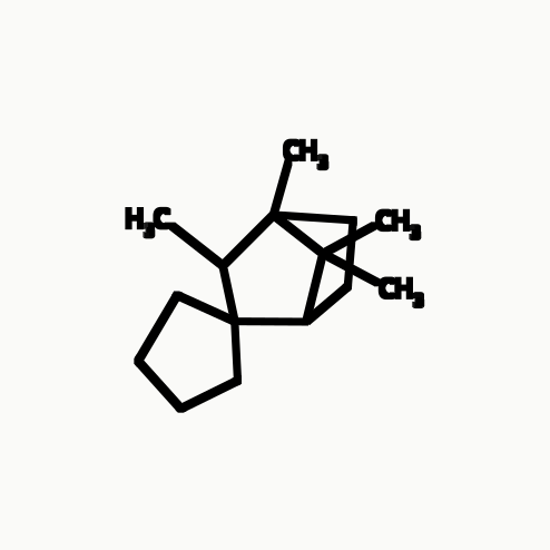 CC1C2(CCCC2)C2CCC1(C)C2(C)C